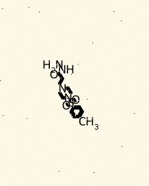 Cc1ccc(S(=O)(=O)N2CCN(CCC(=O)NN)CC2)cc1